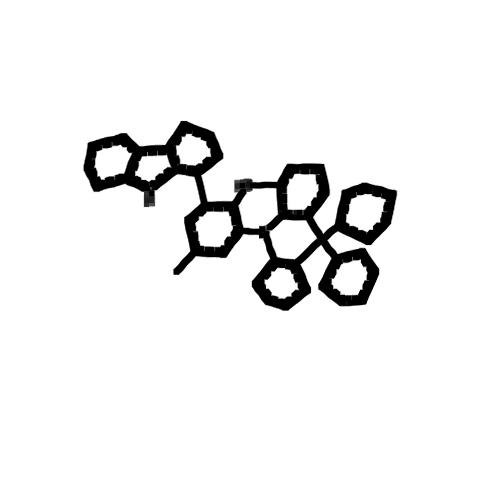 Cc1cc(-c2cccc3c2[nH]c2ccccc23)c2c(c1)N1c3ccccc3C(c3ccccc3)(c3ccccc3)c3cccc(c31)B2